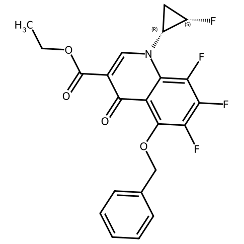 CCOC(=O)c1cn([C@@H]2C[C@@H]2F)c2c(F)c(F)c(F)c(OCc3ccccc3)c2c1=O